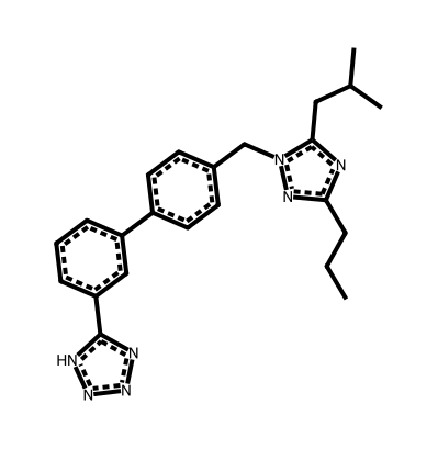 CCCc1nc(CC(C)C)n(Cc2ccc(-c3cccc(-c4nnn[nH]4)c3)cc2)n1